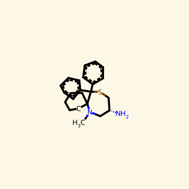 CN1C[C@@H](N)CSC(c2ccccc2)(c2ccccc2)C12CCCCC2